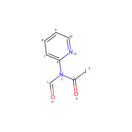 O=CN(C(=O)I)c1ccccn1